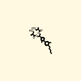 C=C(CO)C(=O)OCC(COC(=O)C(=C)CO)c1ccc(-c2ccc(CCCCC)c(C)c2)c(C)c1